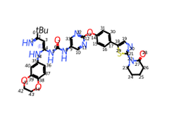 CC(C)(C)C(=N)/C=C(/NC(=O)Nc1cnc(Oc2ccc(-c3cnc(N4CCCCC4=O)s3)cc2)nc1)Nc1ccc2c(c1)OCCO2